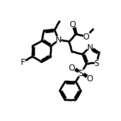 COC(=O)C(Cc1ncsc1S(=O)(=O)c1ccccc1)n1c(C)cc2cc(F)ccc21